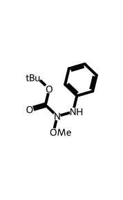 CON(Nc1ccccc1)C(=O)OC(C)(C)C